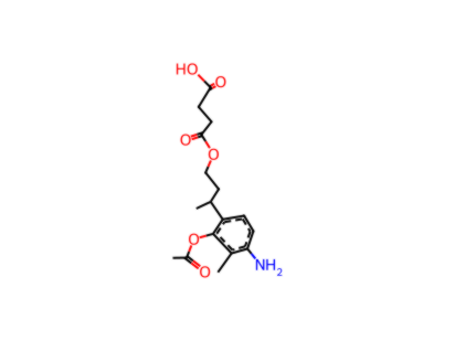 CC(=O)Oc1c(C(C)CCOC(=O)CCC(=O)O)ccc(N)c1C